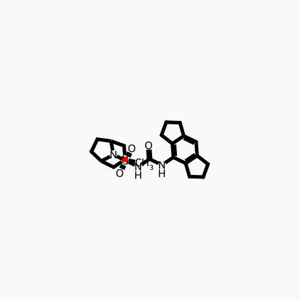 CN1CC2CCC(C1)N2S(=O)(=O)NC(=O)Nc1c2c(cc3c1CCC3)CCC2